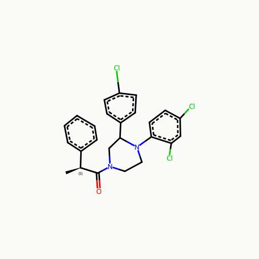 C[C@H](C(=O)N1CCN(c2ccc(Cl)cc2Cl)C(c2ccc(Cl)cc2)C1)c1ccccc1